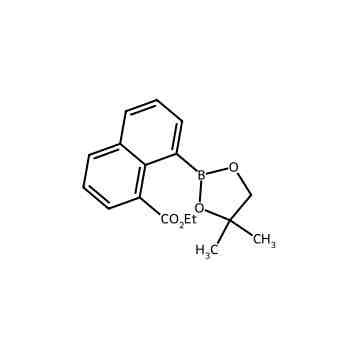 CCOC(=O)c1cccc2cccc(B3OCC(C)(C)O3)c12